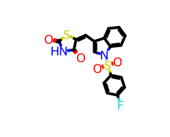 O=C1NC(=O)C(=Cc2cn(S(=O)(=O)c3ccc(F)cc3)c3ccccc23)S1